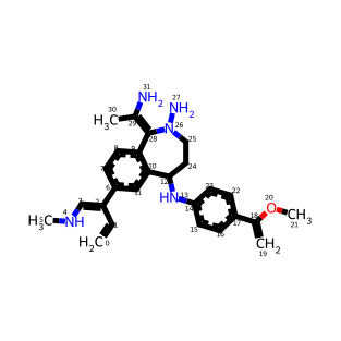 C=C/C(=C\NC)c1ccc2c(c1)C(Nc1ccc(C(=C)OC)cc1)CCN(N)/C2=C(/C)N